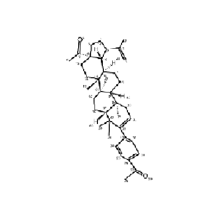 C=C(C)[C@@H]1CC[C@]2(C(C)=O)CC[C@]3(C)[C@H](CC[C@@H]4[C@@]5(C)CC=C(c6ccc(C(C)=O)cc6)C(C)(C)[C@@H]5CC[C@]43C)[C@@H]12